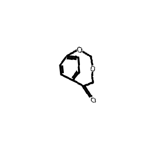 O=C1COCOc2ccc1cc2